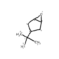 CC(C)(C)C1CC2OC2C1